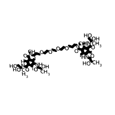 CC(O)C(=O)Nc1c(I)c(C(=O)NC(C)(O)CO)c(I)c(C(=O)N(C)CCCOCCOCCOCCOCCCN(C)C(=O)c2c(I)c(NC(=O)C(C)O)c(I)c(C(=O)NC(C)(O)CO)c2I)c1I